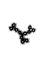 c1ccc2c(c1)c1ccccc1c1cc(-c3ccc(N(c4ccc(-c5ccc(-n6c7ccccc7c7ccccc76)cc5)cc4)c4ccc5c6cccc7c8ccccc8n(c5c4)c76)cc3)ccc21